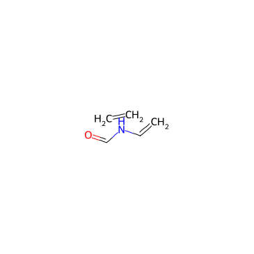 C=C.C=CNC=O